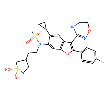 CS(=O)(=O)N(CCC1CCS(O)(O)C1)c1cc2oc(-c3ccc(F)cc3)c(C3=NOCCN3)c2cc1C1CC1